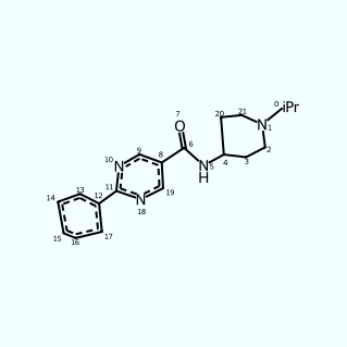 CC(C)N1CCC(NC(=O)c2cnc(-c3ccccc3)nc2)CC1